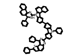 c1ccc(-c2cc3ccc4nc(-c5ccc6c(c5)c5cc(-c7ccc8c(c7)c7c9ccccc9ccc7n8C7=Nc8c(ccc9ccccc89)C(c8ccccc8)N7)ccc5n6-c5ccccc5)nc(-c5ccccc5)c4c3s2)cc1